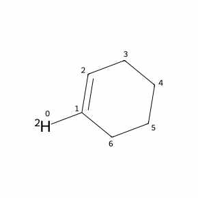 [2H]C1=CCCCC1